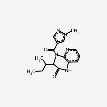 CCC(C)C1C(=O)Nc2cccnc2N1C(=O)c1cnn(C)c1